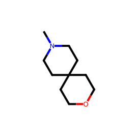 CN1CCC2(CCOCC2)CC1